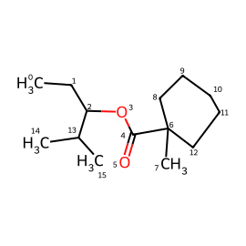 CCC(OC(=O)C1(C)CCCCC1)C(C)C